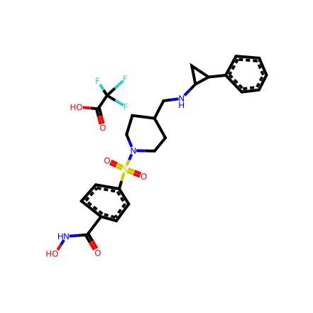 O=C(NO)c1ccc(S(=O)(=O)N2CCC(CNC3CC3c3ccccc3)CC2)cc1.O=C(O)C(F)(F)F